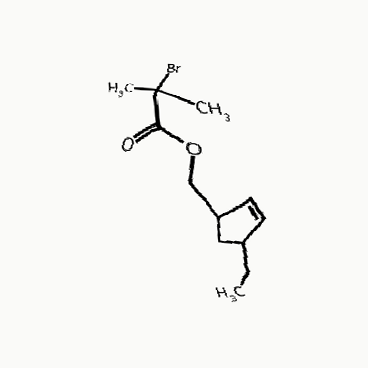 CCC1C=CC(COC(=O)C(C)(C)Br)C1